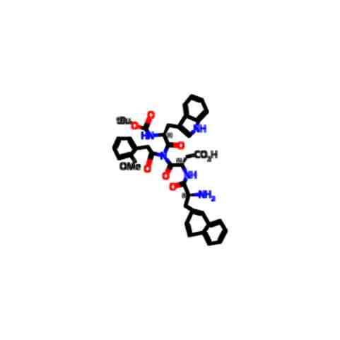 COc1ccccc1CC(=O)N(C(=O)[C@H](Cc1c[nH]c2ccccc12)NC(=O)OC(C)(C)C)C(=O)[C@H](CC(=O)O)NC(=O)[C@@H](N)Cc1ccc2ccccc2c1